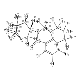 [2H]c1c([2H])c2c3c(c1[2H])C([2H])([2H])C([2H])([2H])C([2H])([2H])[C@]3([2H])C([2H])([2H])N([C@]1([2H])C([2H])([2H])N3C([2H])([2H])C([2H])([2H])[C@]1([2H])C([2H])([2H])C3([2H])C)C2=O